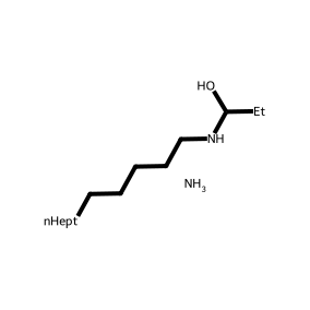 CCCCCCCCCCCCNC(O)CC.N